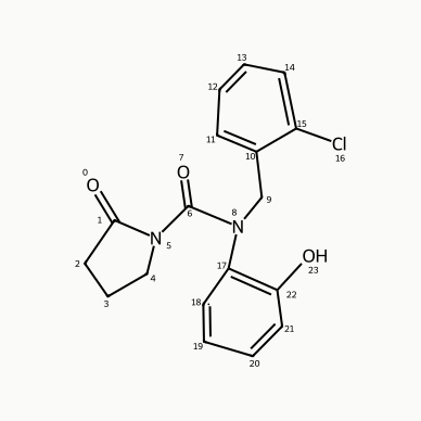 O=C1CCCN1C(=O)N(Cc1ccccc1Cl)c1[c]cccc1O